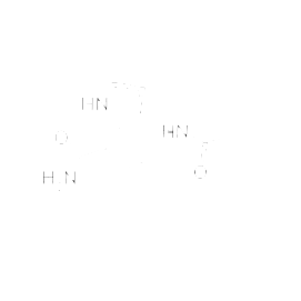 C=CC(=O)Nc1ccc(C(N)=O)c2[nH]ccc12